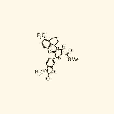 COC(=O)c1nn(-c2ccc3c(c2)oc(=O)n3C)c(=O)n(C2CCCc3c2cccc3C(F)(F)F)c1=O